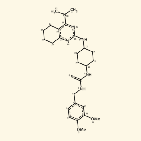 COc1ccc(CNC(=S)NC2CCC(Nc3nc4c(c(N(C)C)n3)CCCC4)CC2)cc1OC